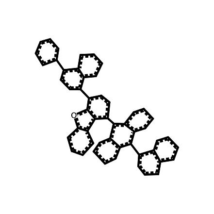 c1ccc(-c2ccc(-c3ccc(-c4c5ccccc5c(-c5cccc6ccccc56)c5ccccc45)c4c3oc3ccccc34)c3ccccc23)cc1